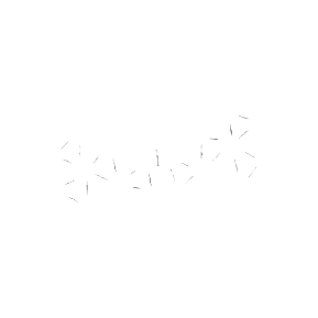 C=C1c2cc(-c3ccc4c5ccccc5c5ccccc5c4c3)ccc2Sc2ccc(-c3ccc4c5ccccc5c5ccccc5c4c3)cc21